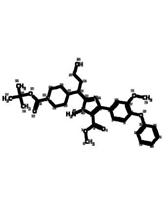 COC(=O)c1c(-c2ccc(Oc3ccccc3)c(OC)c2)nc(C(CCO)C2CCN(C(=O)OC(C)(C)C)CC2)n1N